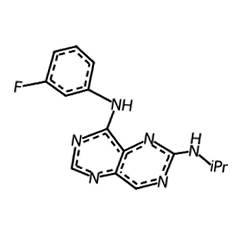 CC(C)Nc1ncc2ncnc(Nc3cccc(F)c3)c2n1